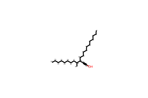 CCCCCCCCCCCC(C#CO)C(C)CCCCCCCC